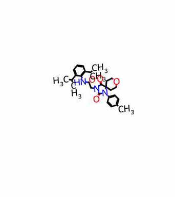 Cc1ccc(N2C(=O)N(CC(=O)Nc3c(C(C)C)cccc3C(C)C)C(=O)C23CCOCC3)cc1